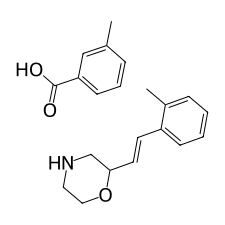 Cc1cccc(C(=O)O)c1.Cc1ccccc1C=CC1CNCCO1